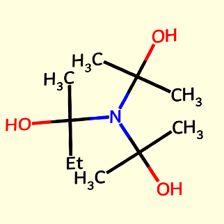 CCC(C)(O)N(C(C)(C)O)C(C)(C)O